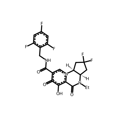 CCN1C(=O)c2c(O)c(=O)c(C(=O)NCc3c(F)cc(F)cc3F)cn2[C@H]2CC(F)(F)C[C@H]21